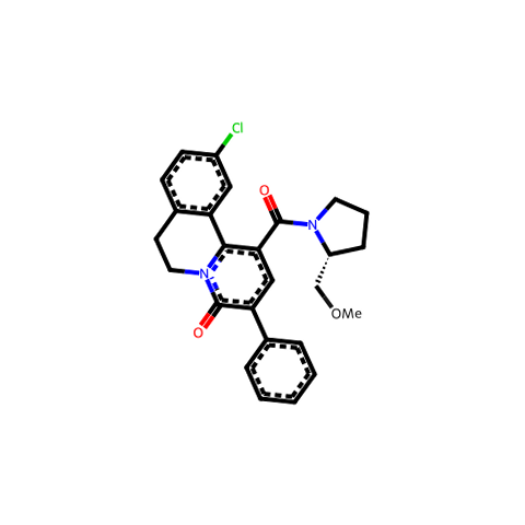 COC[C@H]1CCCN1C(=O)c1cc(-c2ccccc2)c(=O)n2c1-c1cc(Cl)ccc1CC2